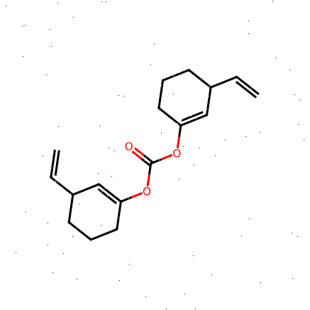 C=CC1C=C(OC(=O)OC2=CC(C=C)CCC2)CCC1